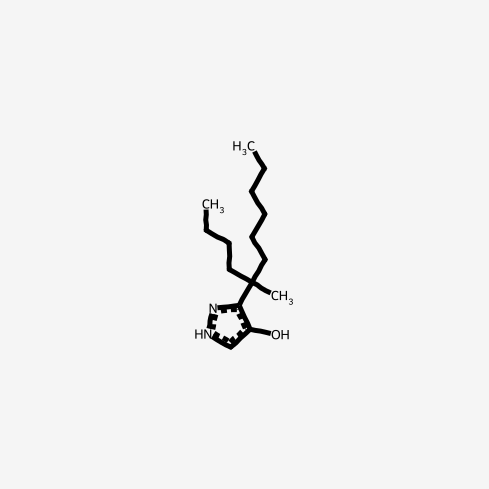 CCCCCCC(C)(CCCC)c1n[nH]cc1O